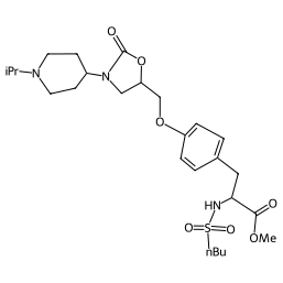 CCCCS(=O)(=O)NC(Cc1ccc(OCC2CN(C3CCN(C(C)C)CC3)C(=O)O2)cc1)C(=O)OC